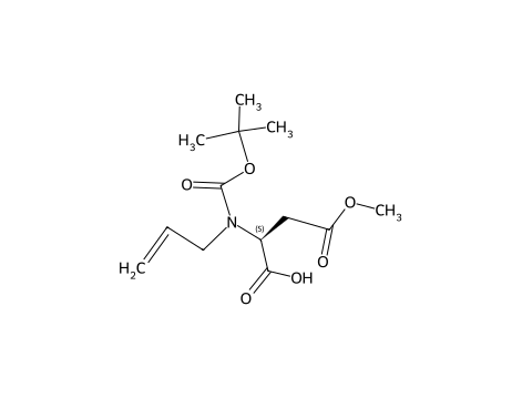 C=CCN(C(=O)OC(C)(C)C)[C@@H](CC(=O)OC)C(=O)O